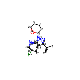 C=C(C)c1nn(C2CCCCO2)c2ncc(F)cc12